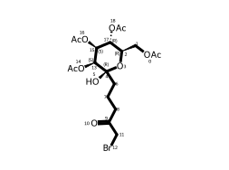 CC(=O)OC[C@H]1O[C@](O)(CCCC(=O)CBr)[C@@H](OC(C)=O)[C@@H](OC(C)=O)[C@@H]1OC(C)=O